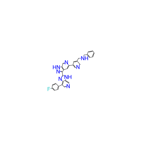 Fc1ccc(-c2cncc3[nH]c(-c4n[nH]c5cnc(-c6cncc(CNCc7ccccc7)c6)cc45)nc23)cc1